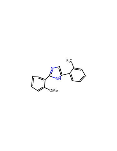 COc1ccccc1-c1ncc(-c2ccccc2C(F)(F)F)[nH]1